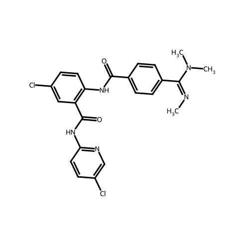 C/N=C(\c1ccc(C(=O)Nc2ccc(Cl)cc2C(=O)Nc2ccc(Cl)cn2)cc1)N(C)C